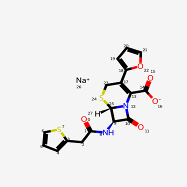 O=C(Cc1cccs1)N[C@@H]1C(=O)N2C(C(=O)[O-])=C(c3ccco3)CS[C@@H]12.[Na+]